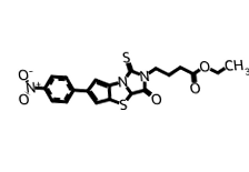 CCOC(=O)CCCN1C(=O)C2SC3C=C(c4ccc([N+](=O)[O-])cc4)C=C3N2C1=S